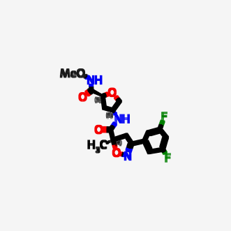 CONC(=O)[C@@H]1C[C@H](NC(=O)[C@@]2(C)CC(c3cc(F)cc(F)c3)=NO2)CO1